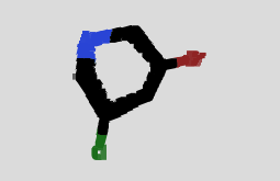 Clc1[c]ncc(Br)c1